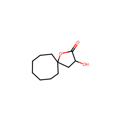 O=C1OC2(CCCCCCC2)CC1O